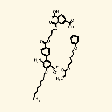 C=CC(=O)OCCCCCOc1ccccc1.CCCCCCCCOc1cc(N)c(-c2ccc(C(=O)OCCCOC(=O)c3cc(C(=O)O)ccc3C(=O)O)cc2)cc1[N+](=O)[O-]